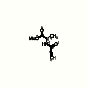 C#CC(=O)N[C@@H](C)C(=O)OC